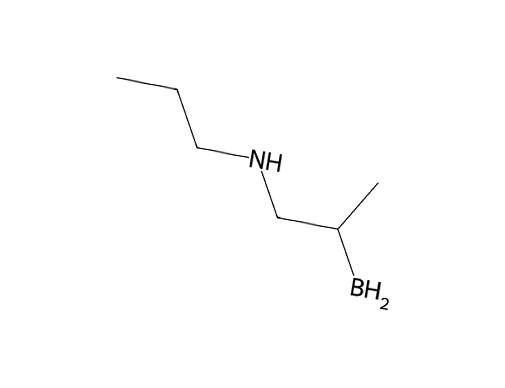 BC(C)CNCCC